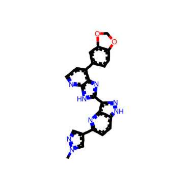 Cn1cc(-c2ccc3[nH]nc(-c4nc5c(-c6ccc7c(c6)OCO7)ccnc5[nH]4)c3n2)cn1